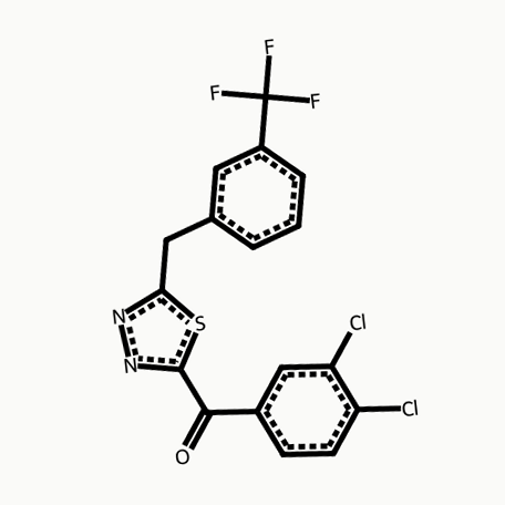 O=C(c1ccc(Cl)c(Cl)c1)c1nnc(Cc2cccc(C(F)(F)F)c2)s1